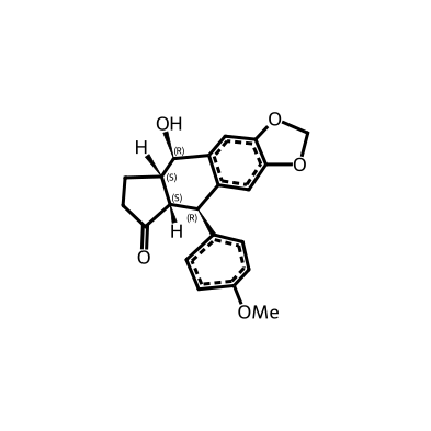 COc1ccc([C@@H]2c3cc4c(cc3[C@H](O)[C@H]3CCC(=O)[C@@H]23)OCO4)cc1